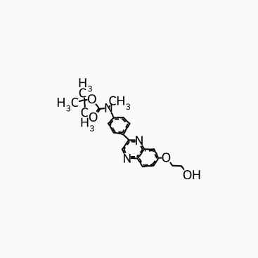 CN(C(=O)OC(C)(C)C)c1ccc(-c2cnc3ccc(OCCO)cc3n2)cc1